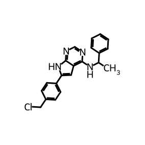 CC(Nc1ncnc2[nH]c(-c3ccc(CCl)cc3)cc12)c1ccccc1